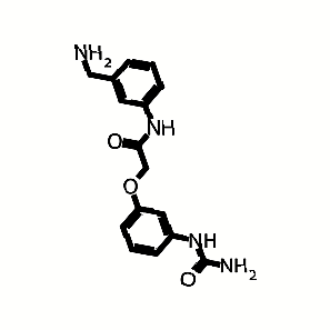 NCc1cccc(NC(=O)COc2cccc(NC(N)=O)c2)c1